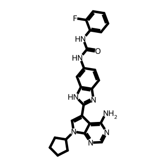 Nc1ncnc2c1c(-c1nc3ccc(NC(=O)Nc4ccccc4F)cc3[nH]1)cn2C1CCCC1